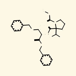 CC(O)C1(C(=O)N[C@H](C(=O)OCc2ccccc2)[C@@H](C)OCc2ccccc2)CCCN1C(=O)OC(C)(C)C